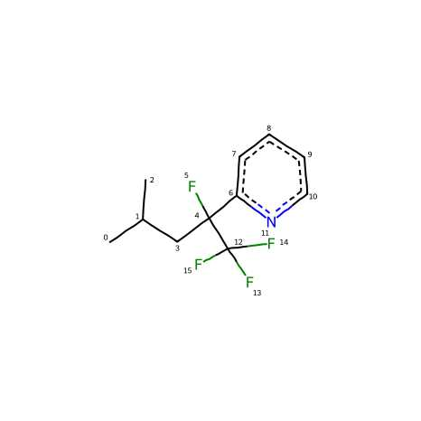 CC(C)CC(F)(c1ccccn1)C(F)(F)F